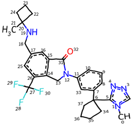 Cn1cnnc1C1(c2cccc(N3Cc4c(cc(CNC5(C)CCC5)cc4C(F)(F)F)C3=O)c2)CCCC1